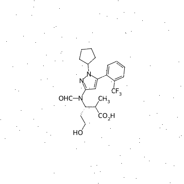 CC(C(=O)O)[C@H](CCO)N(C=O)c1cc(-c2ccccc2C(F)(F)F)n(C2CCCC2)n1